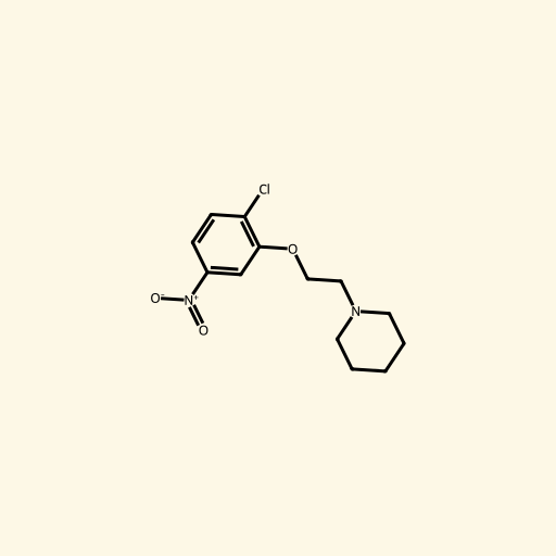 O=[N+]([O-])c1ccc(Cl)c(OCCN2CCCCC2)c1